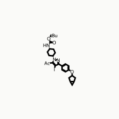 CC(=O)c1c(I)c(-c2ccc(OC3CC4CC4C3)cc2)nn1[C@H]1CC[C@@H](NC(=O)OC(C)(C)C)CC1